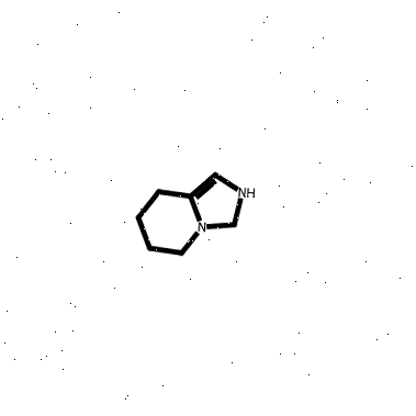 C1=C2CCCCN2CN1